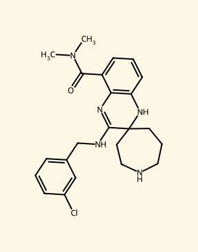 CN(C)C(=O)c1cccc2c1N=C(NCc1cccc(Cl)c1)C1(CCCNCC1)N2